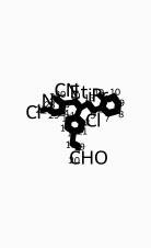 CC/C(=C(\C(=C(/Cl)c1ccccc1C)C(C)C)c1ccc(/C=C/C=O)cc1)c1ccc(Cl)nc1C#N